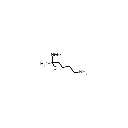 CNC(C)(C)CCCCN